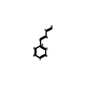 C=CC=Cc1ccccc1